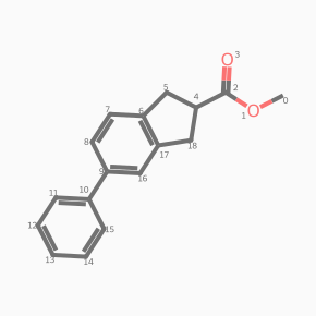 COC(=O)C1Cc2ccc(-c3ccccc3)cc2C1